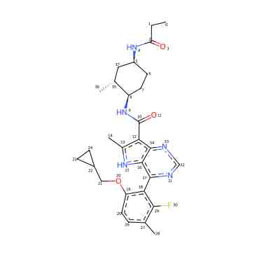 CCC(=O)N[C@H]1CC[C@@H](NC(=O)c2c(C)[nH]c3c(-c4c(OCC5CC5)ccc(C)c4F)ncnc23)[C@H](C)C1